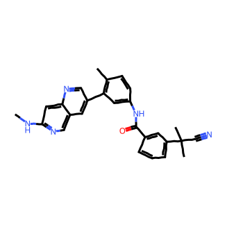 CNc1cc2ncc(-c3cc(NC(=O)c4cccc(C(C)(C)C#N)c4)ccc3C)cc2cn1